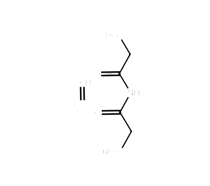 C=C.CCCCCCCCCCCC(=O)NC(=O)CCCCCCCCCCC